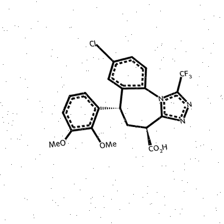 COc1cccc([C@H]2C[C@H](C(=O)O)c3nnc(C(F)(F)F)n3-c3ccc(Cl)cc32)c1OC